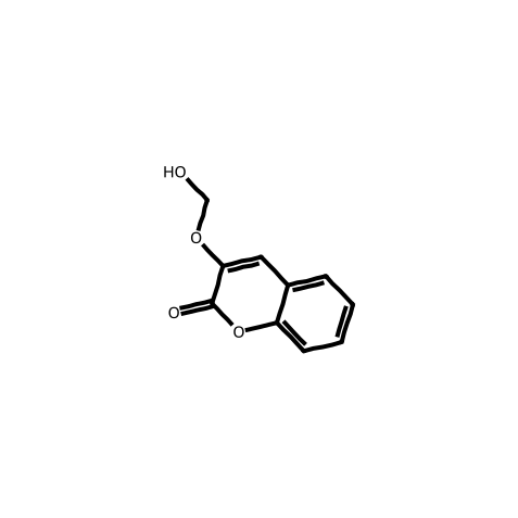 O=c1oc2ccccc2cc1OCO